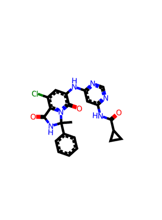 CC1(c2ccccc2)NC(=O)c2c(Cl)cc(Nc3cc(NC(=O)C4CC4)ncn3)c(=O)n21